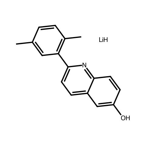 Cc1ccc(C)c(-c2ccc3cc(O)ccc3n2)c1.[LiH]